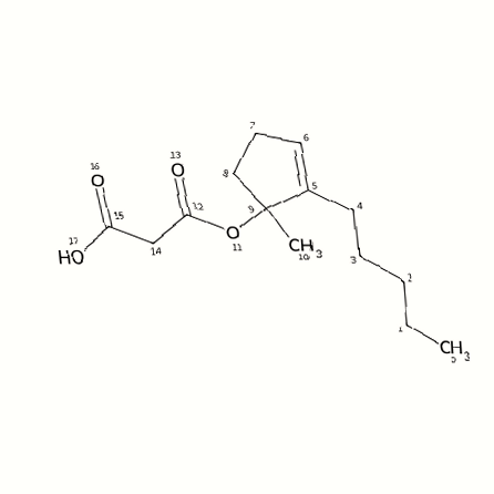 CCCCCC1=CCCC1(C)OC(=O)CC(=O)O